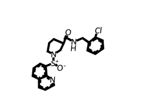 O=C(NCc1ccccc1Cl)C1CCCN([S+]([O-])c2cccc3cccnc23)C1